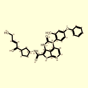 Cc1cc(Oc2ccccc2)ccc1N1C(=O)Nc2c(C(=O)N[C@@H]3CCC(C(=O)/C=C/CO)C3)sc3nccc1c23